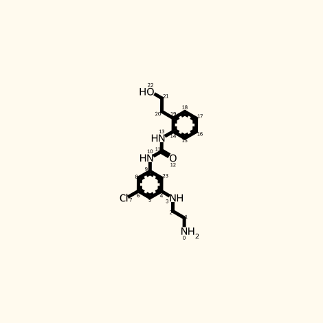 NCCNc1cc(Cl)cc(NC(=O)Nc2ccccc2CCO)c1